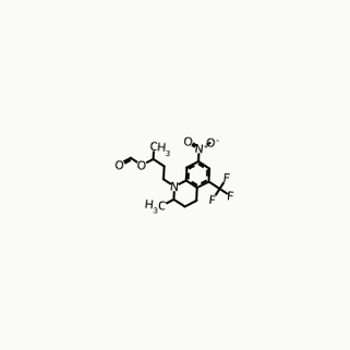 CC(CCN1c2cc([N+](=O)[O-])cc(C(F)(F)F)c2CCC1C)OC=O